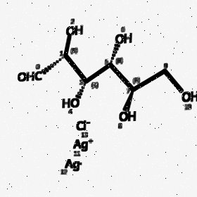 O=C[C@H](O)[C@@H](O)[C@H](O)[C@H](O)CO.[Ag+].[Ag].[Cl-]